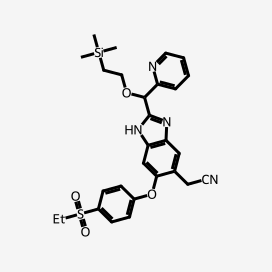 CCS(=O)(=O)c1ccc(Oc2cc3[nH]c(C(OCC[Si](C)(C)C)c4ccccn4)nc3cc2CC#N)cc1